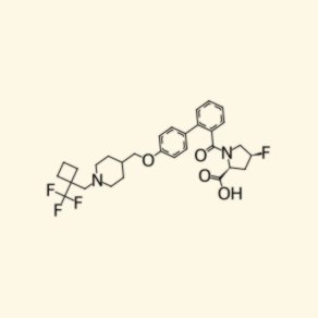 O=C(O)[C@@H]1C[C@H](F)CN1C(=O)c1ccccc1-c1ccc(OCC2CCN(CC3(C(F)(F)F)CCC3)CC2)cc1